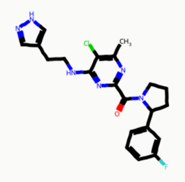 Cc1nc(C(=O)N2CCCC2c2cccc(F)c2)nc(NCCc2cn[nH]c2)c1Cl